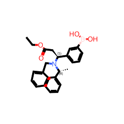 CCOC(=O)C[C@@H](c1cccc(B(O)O)c1)N(Cc1ccccc1)[C@H](C)c1ccccc1